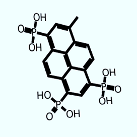 Cc1cc(P(=O)(O)O)c2ccc3c(P(=O)(O)O)cc(P(=O)(O)O)c4ccc1c2c43